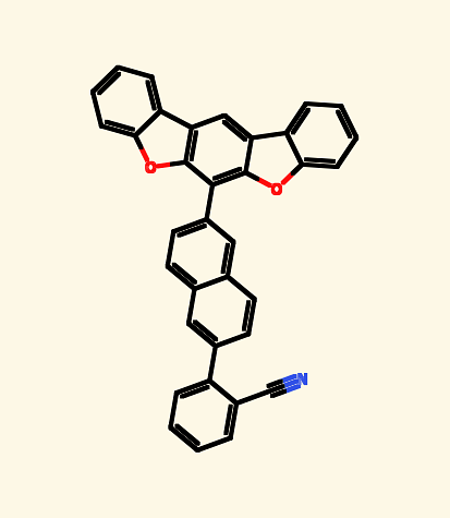 N#Cc1ccccc1-c1ccc2cc(-c3c4oc5ccccc5c4cc4c3oc3ccccc34)ccc2c1